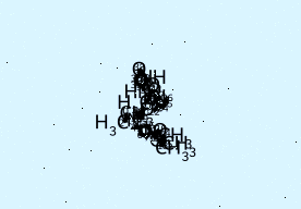 CC(C)N(CC1CCN(C(=O)OC(C)(C)C)CC1)[C@H]1C[C@H](OCc2cccnc2N(C)C(=O)NC2CCC(=O)NC2=O)C1